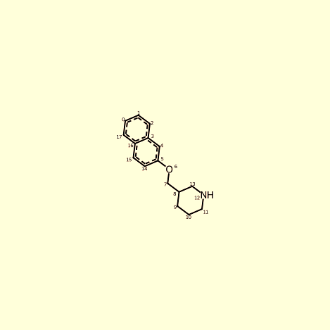 c1ccc2cc(OCC3CCCNC3)ccc2c1